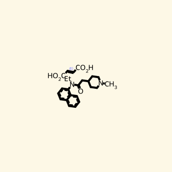 CCN(C(=O)CC1CCN(C)CC1)c1cccc2ccccc12.O=C(O)/C=C/C(=O)O